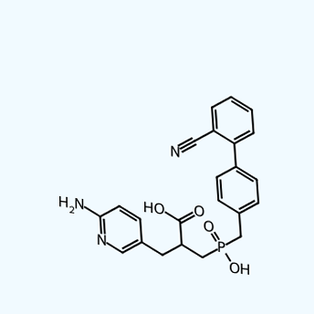 N#Cc1ccccc1-c1ccc(CP(=O)(O)CC(Cc2ccc(N)nc2)C(=O)O)cc1